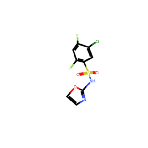 O=S(=O)(Nc1ncco1)c1cc(Cl)c(F)cc1F